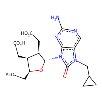 CC(=O)OC[C@@H]1O[C@@H](n2c(=O)n(CC3CC3)c3cnc(N)nc32)[C@H](CC(=O)O)[C@@H]1CC(=O)O